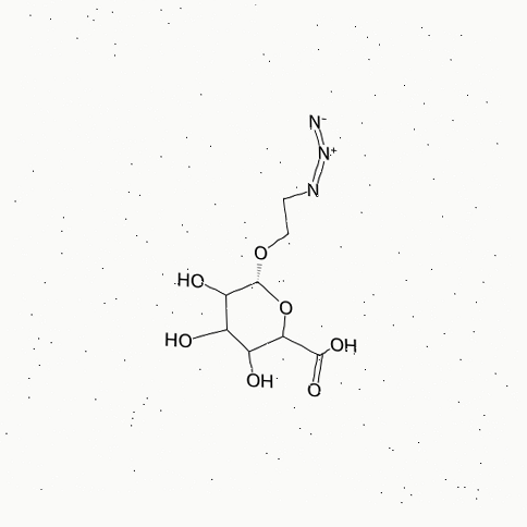 [N-]=[N+]=NCCO[C@@H]1OC(C(=O)O)C(O)C(O)C1O